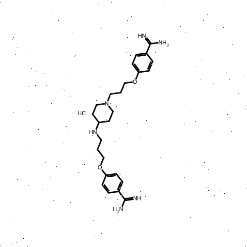 Cl.N=C(N)c1ccc(OCCCNC2CCN(CCCOc3ccc(C(=N)N)cc3)CC2)cc1